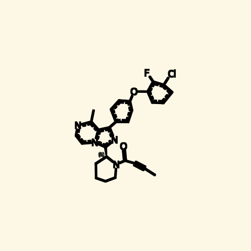 CC#CC(=O)N1CCCC[C@H]1c1nc(-c2ccc(Oc3cccc(Cl)c3F)cc2)c2c(C)nccn12